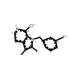 Cc1c(C)n(Cc2cccc(F)c2)c2c(Cl)nccc12